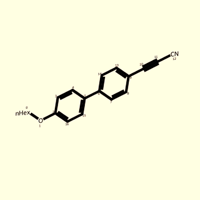 CCCCCCOc1ccc(-c2ccc(C#CC#N)cc2)cc1